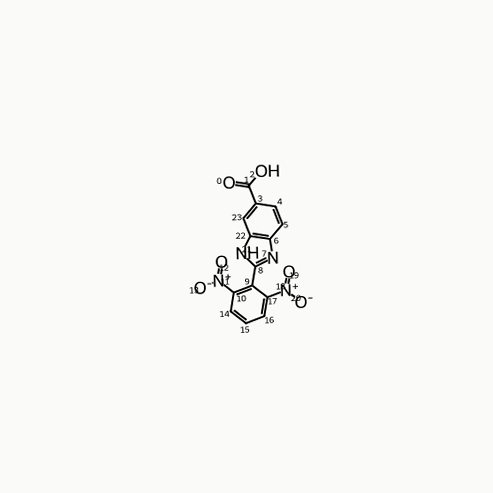 O=C(O)c1ccc2nc(-c3c([N+](=O)[O-])cccc3[N+](=O)[O-])[nH]c2c1